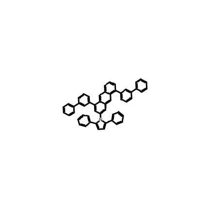 c1ccc(-c2cccc(-c3cccc4cc5c(-c6cccc(-c7ccccc7)c6)cc(-n6c(-c7ccccc7)ccc6-c6ccccc6)cc5cc34)c2)cc1